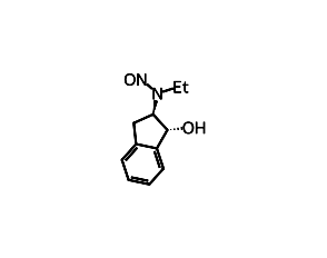 CCN(N=O)[C@@H]1Cc2ccccc2[C@H]1O